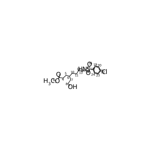 COC(=O)CCC(CCO)CCCCNS(=O)(=O)c1ccc(Cl)cc1